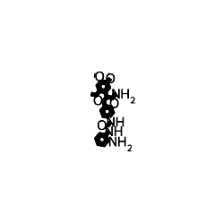 COc1cc(C(C)=O)c(C(Cc2ccc(NC(=O)Nc3ccccc3N)cc2)C(N)=O)cc1OC